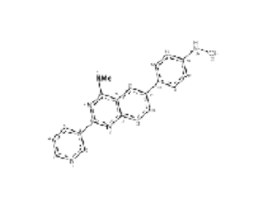 CNc1nc(-c2cccnc2)nc2ccc(-c3ccc(NO)cc3)cc12